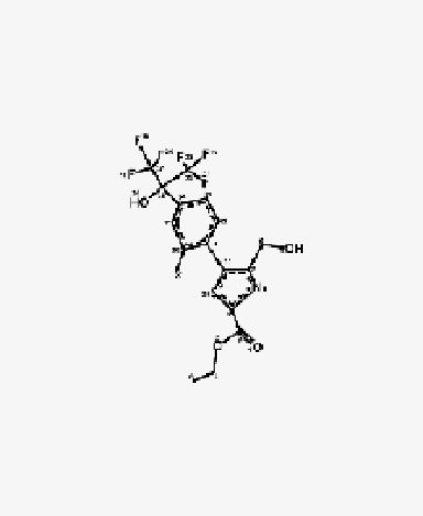 CCOC(=O)c1nc(CO)c(-c2ccc(C(O)(C(F)(F)F)C(F)(F)F)cc2C)s1